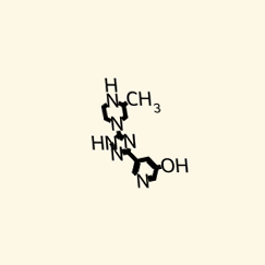 CC1CN(c2nc(-c3cncc(O)c3)n[nH]2)CCN1